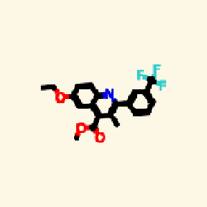 CCOc1ccc2nc(-c3cccc(C(F)(F)F)c3)c(C)c(C(=O)OC)c2c1